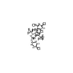 FC(F)(F)CCN(Cc1ccc(Cl)cc1)Cc1sc(Nc2c(Cl)cc(Cl)cc2Cl)nc1C(F)(F)F